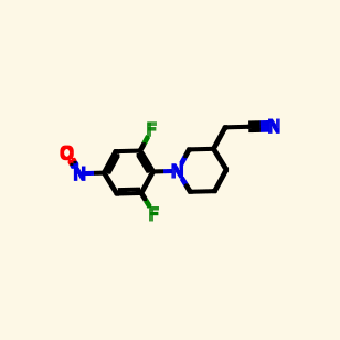 N#CCC1CCCN(c2c(F)cc(N=O)cc2F)C1